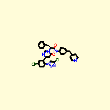 O=C(Nc1ccc(Cc2ccncc2)cc1)[C@H](Cc1ccccc1)n1cnc(-c2cc(Cl)ccc2-n2cc(Cl)nn2)cc1=O